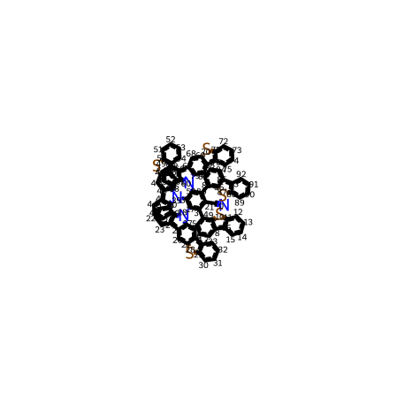 N#Cc1c(-c2cccc3c2sc2ccccc23)c(-n2c3ccccc3c3cc4sc5ccccc5c4cc32)c(-n2c3ccccc3c3cc4sc5ccccc5c4cc32)c(-n2c3ccccc3c3cc4sc5ccccc5c4cc32)c1-c1cccc2c1sc1ccccc12